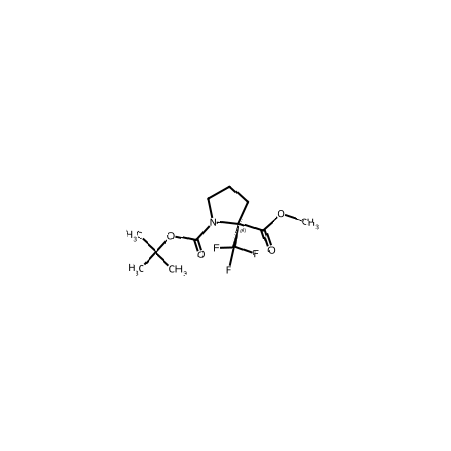 COC(=O)[C@@]1(C(F)(F)F)CCCN1C(=O)OC(C)(C)C